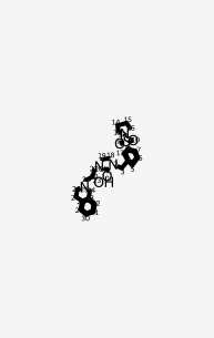 O=C1N(Cc2cccc(S(=O)(=O)N3CCCC3)c2)CCN1C[C@H](O)CN1CCc2ccccc2C1